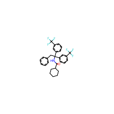 O=C(NC(Cc1ccccc1)(c1cccc(C(F)(F)F)c1)c1cccc(C(F)(F)F)c1)C1CCCCC1